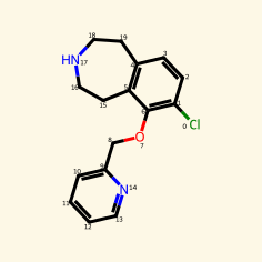 Clc1ccc2c(c1OCc1ccccn1)CCNCC2